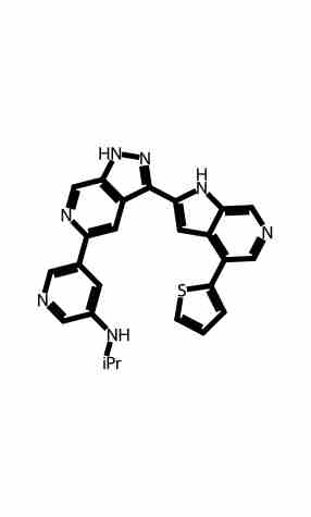 CC(C)Nc1cncc(-c2cc3c(-c4cc5c(-c6cccs6)cncc5[nH]4)n[nH]c3cn2)c1